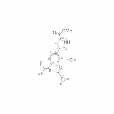 COC(=O)[C@@H]1CC(c2ccc(OC(F)F)c(OCC3CC3)c2)CN1.Cl